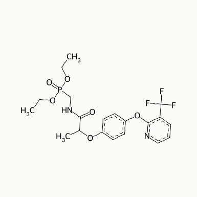 CCOP(=O)(CNC(=O)C(C)Oc1ccc(Oc2ncccc2C(F)(F)F)cc1)OCC